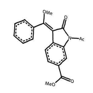 COC(=O)c1ccc2c(c1)N(C(C)=O)C(=O)C2=C(OC)c1ccccc1